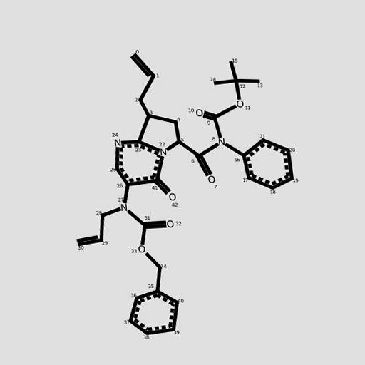 C=CCC1CC(C(=O)N(C(=O)OC(C)(C)C)c2ccccc2)n2c1ncc(N(CC=C)C(=O)OCc1ccccc1)c2=O